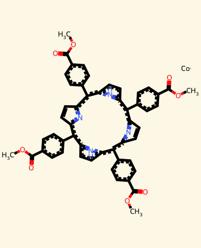 COC(=O)c1ccc(-c2c3nc(c(-c4ccc(C(=O)OC)cc4)c4ccc([nH]4)c(-c4ccc(C(=O)OC)cc4)c4nc(c(-c5ccc(C(=O)OC)cc5)c5ccc2[nH]5)C=C4)C=C3)cc1.[Co]